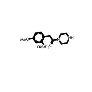 C=C(Cc1ccc(OC)cc1OC)N1CCNCC1